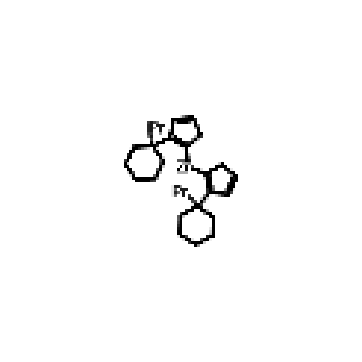 CC(C)C1(C2=[C]([Zr][C]3=C(C4(C(C)C)CCCCC4)C=CC3)CC=C2)CCCCC1